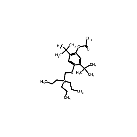 CCC[Si](CCC)(CCC)CSc1cc(C(C)(C)C)c(OC(C)=O)cc1C(C)(C)C